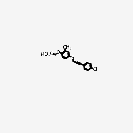 Cc1cc(SCC#Cc2ccc(Cl)cc2)ccc1OCC(=O)O